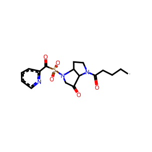 [CH2]CCCC(=O)N1CCC2C1C(=O)CN2S(=O)(=O)C(=O)c1ccccn1